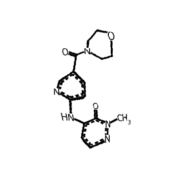 Cn1nccc(Nc2ccc(C(=O)N3CCOCC3)cn2)c1=O